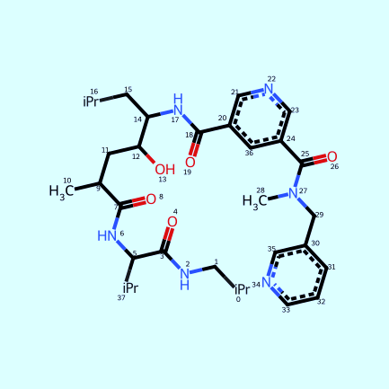 CC(C)CNC(=O)C(NC(=O)C(C)CC(O)C(CC(C)C)NC(=O)c1cncc(C(=O)N(C)Cc2cccnc2)c1)C(C)C